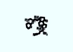 CC[C@@H](CC[C@@]1(C)CCC(=O)C2C1CC[C@@]1(C)C2CC[C@@H]1[C@H](C)CCC#N)OC1CCCCO1